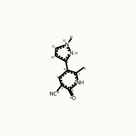 Cc1[nH]c(=O)c(C#N)cc1-c1ccn(C)n1